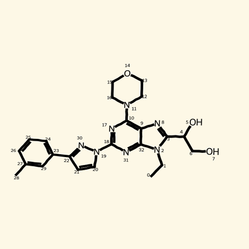 CCn1c(C(O)CO)nc2c(N3CCOCC3)nc(-n3ccc(-c4cccc(C)c4)n3)nc21